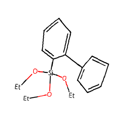 CCO[Si](OCC)(OCC)c1ccccc1-c1ccccc1